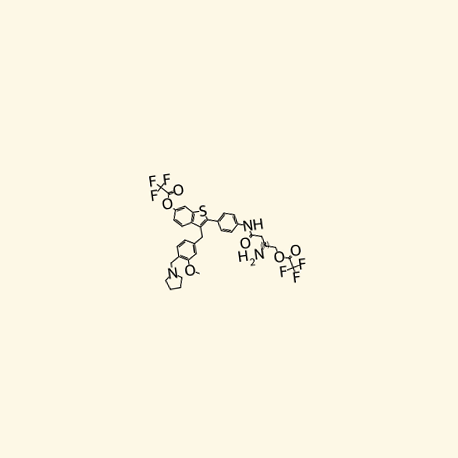 COc1cc(Cc2c(-c3ccc(NC(=O)C[C@@H](N)COC(=O)C(F)(F)F)cc3)sc3cc(OC(=O)C(F)(F)F)ccc23)ccc1CN1CCCC1